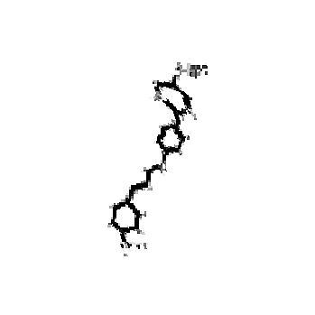 CCCCCCCc1cnc(-c2ccc(OCC=CC3CCC(CCCCC)CC3)cc2)nc1